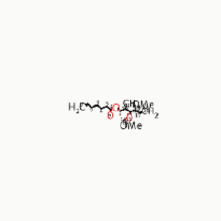 C=CCCCCC(=O)OC[C@@H](C)C(OCOC)[C@H](C=C)OC